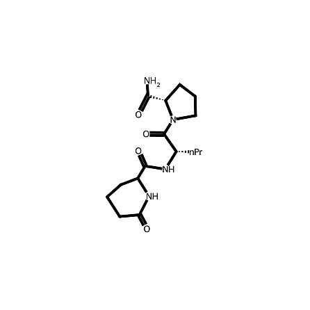 CCC[C@H](NC(=O)C1CCCC(=O)N1)C(=O)N1CCC[C@H]1C(N)=O